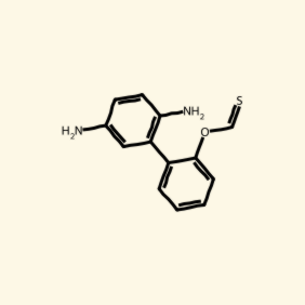 Nc1ccc(N)c(-c2ccccc2OC=S)c1